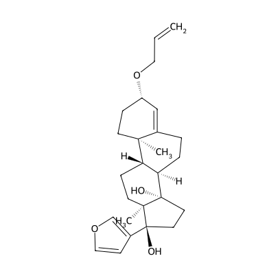 C=CCO[C@@H]1C=C2CC[C@@H]3[C@H](CC[C@]4(C)[C@@](O)(c5ccoc5)CC[C@]34O)[C@@]2(C)CC1